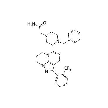 NC(=O)CN1CCN(Cc2ccccc2)C(C2=NCc3c(-c4ccccc4C(F)(F)F)nn4c3N2CC=C4)C1